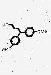 COc1ccc(C(CC=CO)c2ccc(OC)cc2)cc1